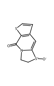 O=c1c2sccc2cc2n1CC[S+]2[O-]